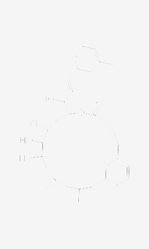 C=C1CC(C)CC2CC=CC(CC=CC(=O)OC(C(O)C=CC3CC(C)=CCO3)CC(Cl)C(O)C(O)C1)O2